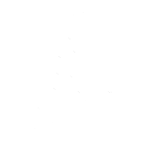 COCC1(CN(C)c2cc(-c3cnc(C4CC4)c(C(F)(F)F)c3)nc3nc(-c4cnc(N5CCC(C(=O)O)CC5)cn4)[nH]c23)CCCCC1.[Na]